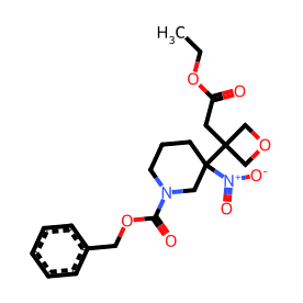 CCOC(=O)CC1(C2([N+](=O)[O-])CCCN(C(=O)OCc3ccccc3)C2)COC1